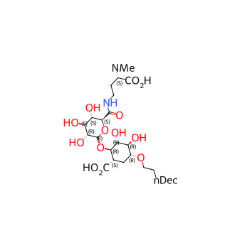 CCCCCCCCCCCCO[C@@H]1C[C@H](C(=O)O)[C@@H](O[C@@H]2O[C@H](C(=O)NCC[C@H](NC)C(=O)O)[C@@H](O)[C@H](O)[C@H]2O)[C@H](O)[C@H]1O